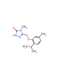 Cc1ccc(C(C)C)c(OCc2n[nH]c(=O)n2C)c1